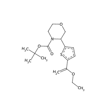 C=C(OCC)c1ccc(C2COCCN2C(=O)OC(C)(C)C)s1